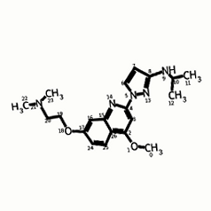 COc1cc(-n2ccc(NC(C)C)n2)nc2cc(OCCN(C)C)ccc12